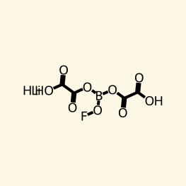 O=C(O)C(=O)OB(OF)OC(=O)C(=O)O.[LiH]